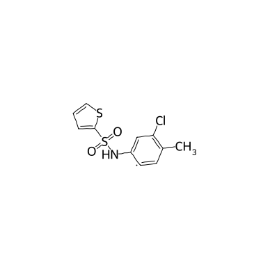 Cc1c[c]c(NS(=O)(=O)c2cccs2)cc1Cl